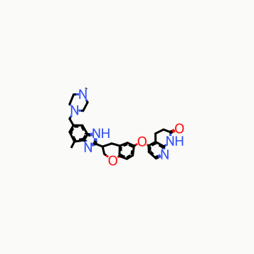 Cc1cc(CN2CCN(C)CC2)cc2[nH]c(C3COc4ccc(Oc5ccnc6c5CCC(=O)N6)cc4C3)nc12